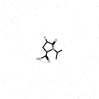 CC(C)N1C(=O)C(F)CC1C(=O)O